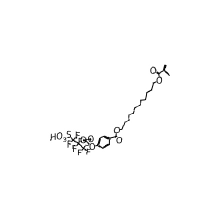 C=C(C)C(=O)OCCCCCCCCCCCCOC(=O)c1ccc(OS(=O)(=O)C(F)(F)C(F)(F)C(F)(F)S(=O)(=O)O)cc1